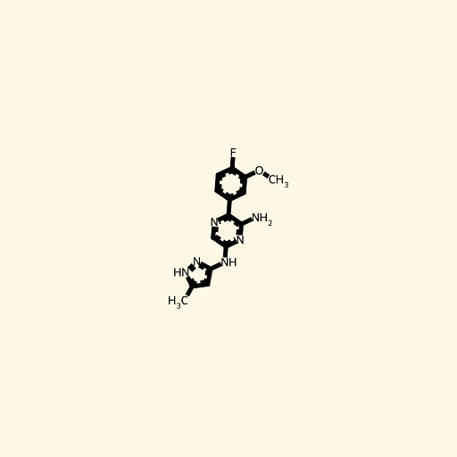 COc1cc(-c2ncc(Nc3cc(C)[nH]n3)nc2N)ccc1F